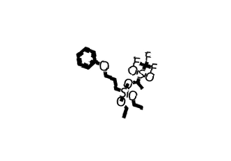 CCO[Si](CCCOc1ccccc1)(OCC)OC(C)S(=O)(=O)C(F)(F)F